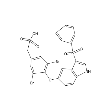 O=S(=O)(O)Cc1cc(Br)c(Oc2ccc3[nH]cc(S(=O)(=O)c4ccccc4)c3c2)c(Br)c1